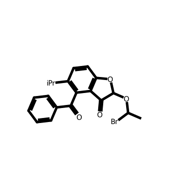 CC(Br)OC1Oc2ccc(C(C)C)c(C(=O)c3ccccc3)c2C1=O